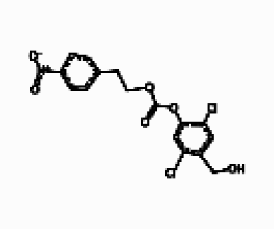 O=C(OCCc1ccc([N+](=O)[O-])cc1)Oc1cc(Cl)c(CO)cc1Cl